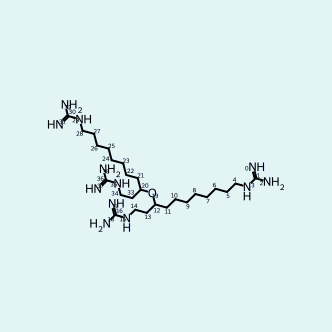 N=C(N)NCCCCCCCCC(CCNC(=N)N)OC(CCCCCCCCNC(=N)N)CCNC(=N)N